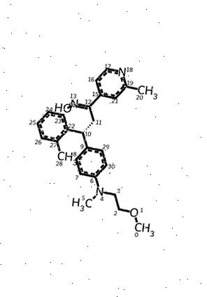 COCCN(C)c1ccc([C@@H](C/C(=N\O)c2ccnc(C)c2)c2ccccc2C)cc1